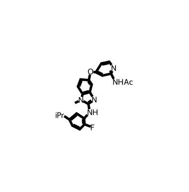 CC(=O)Nc1cc(Oc2ccc3c(c2)nc(Nc2cc(C(C)C)ccc2F)n3C)ccn1